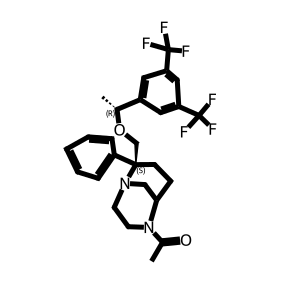 CC(=O)N1CCN2CC1CC[C@@]2(CO[C@H](C)c1cc(C(F)(F)F)cc(C(F)(F)F)c1)c1ccccc1